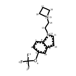 FC(F)(F)Oc1ccc2c(ccn2CCN2CCC2)c1